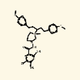 COc1ccc(CCC(CCc2ccc(OC)cc2)[N+]2(C)CCC[C@H](NC(=O)c3nc(Cl)c(N)nc3N)C2)cc1